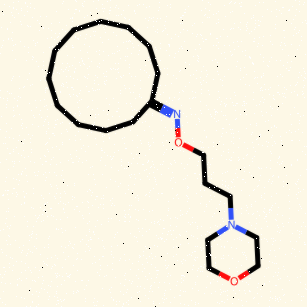 C1CCCCCC(=NOCCCN2CCOCC2)CCCCC1